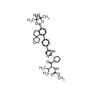 COC(=O)N[C@H](C(=O)N1CCC[C@H]1c1ncc(-c2ccc(-c3ccc(B4OC(C)(C)C(C)(C)O4)c4c3C3(CCOC3)CC4)cc2)[nH]1)C(C)C